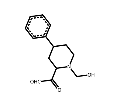 O=CC(=O)C1CC(c2ccccc2)CCN1CO